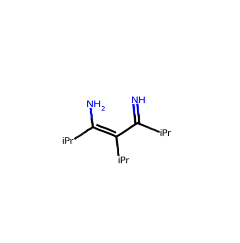 CC(C)C(=N)/C(=C(\N)C(C)C)C(C)C